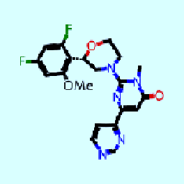 COc1cc(F)cc(F)c1[C@H]1CN(c2nc(-c3ccncn3)cc(=O)n2C)CCO1